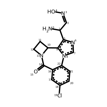 NC(/C=N\O)c1ncn2c1C1CCN1C(=O)c1cc(Cl)ccc1-2